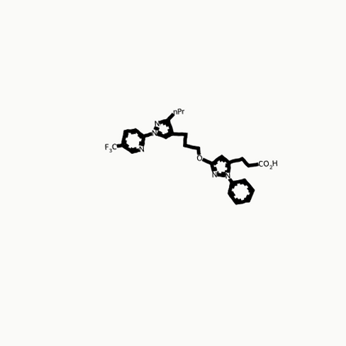 CCCc1nn(-c2ccc(C(F)(F)F)cn2)cc1CCCOc1cc(CCC(=O)O)n(-c2ccccc2)n1